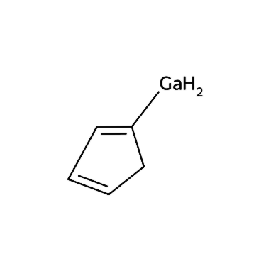 [GaH2][C]1=CC=CC1